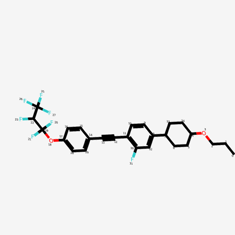 CCCOC1CCC(c2ccc(C#Cc3ccc(OC(F)(F)C(F)C(F)(F)F)cc3)c(F)c2)CC1